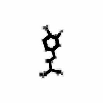 NC(N)NCc1ccc([18F])c(I)c1